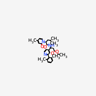 CCOC(=O)C[C@H](NC(=O)C(CC(C)C)n1ccc(C)cc1=O)c1ccnc(-c2c(C)cccc2C)c1